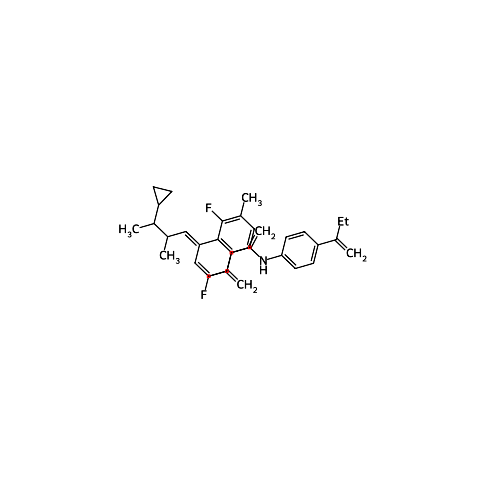 C=C(/C=C\C(=C/C(C)C(C)C1CC1)c1c(CCF)ccc(C)c1F)CC(=C)Nc1ccc(C(=C)CC)cc1